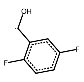 O[CH]c1cc(F)ccc1F